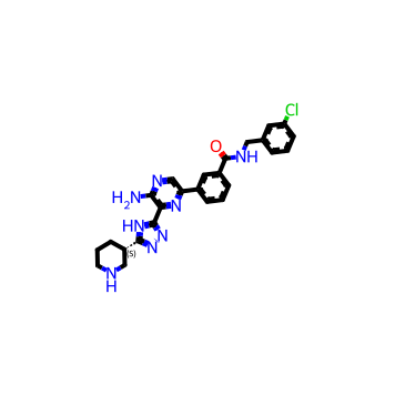 Nc1ncc(-c2cccc(C(=O)NCc3cccc(Cl)c3)c2)nc1-c1nnc([C@H]2CCCNC2)[nH]1